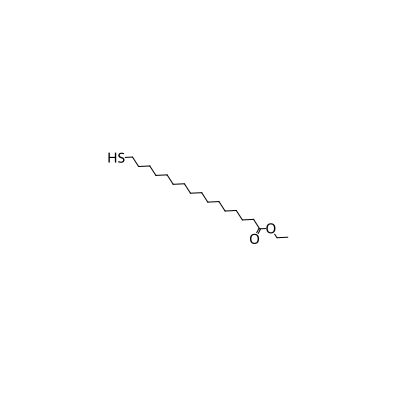 CCOC(=O)CCCCCCCCCCCCCCCS